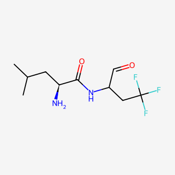 CC(C)C[C@H](N)C(=O)NC(C=O)CC(F)(F)F